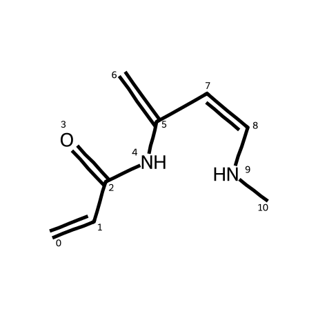 C=CC(=O)NC(=C)/C=C\NC